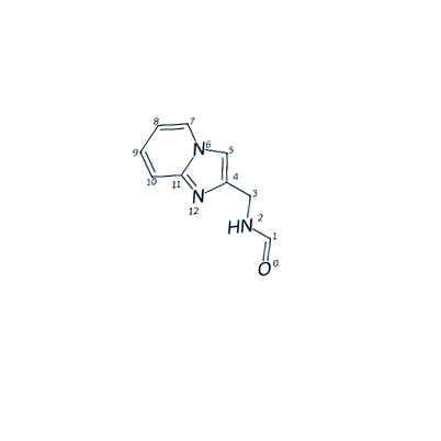 O=CNCc1cn2ccccc2n1